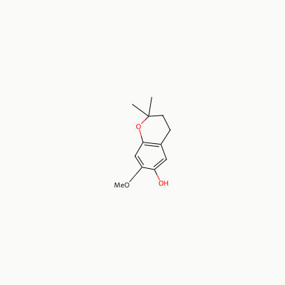 COc1cc2c(cc1O)CCC(C)(C)O2